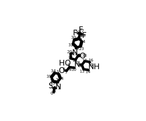 Cc1nc2cc(OC[C@H](O)CN(C3CCNCC3)[C@@H]3CCN(c4ccc(C(F)(F)F)cc4)C3=O)ccc2s1